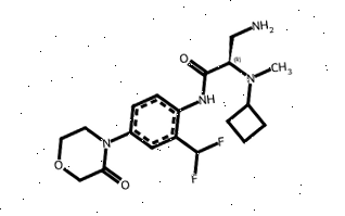 CN(C1CCC1)[C@H](CN)C(=O)Nc1ccc(N2CCOCC2=O)cc1C(F)F